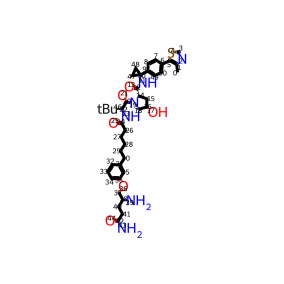 Cc1ncsc1-c1ccc(C2(NC(=O)[C@@H]3C[C@@H](O)CN3C(=O)[C@@H](NC(=O)CCCCCc3cccc(OC[C@@H](N)CCC(N)=O)c3)C(C)(C)C)CC2)cc1